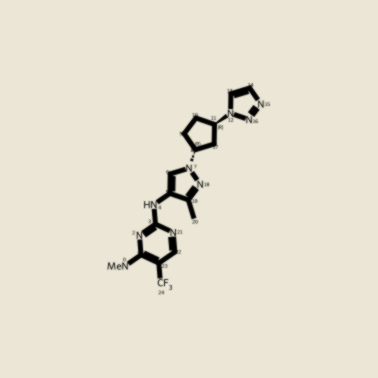 CNc1nc(Nc2cn([C@@H]3CC[C@@H](n4ccnn4)C3)nc2C)ncc1C(F)(F)F